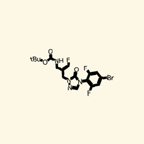 CC(C)(C)OC(=O)NCC(=CF)Cn1ncn(-c2c(F)cc(Br)cc2F)c1=O